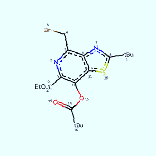 CCOC(=O)c1nc(CBr)c2nc(C(C)(C)C)sc2c1OC(=O)C(C)(C)C